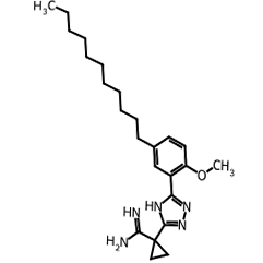 CCCCCCCCCCCc1ccc(OC)c(-c2nnc(C3(C(=N)N)CC3)[nH]2)c1